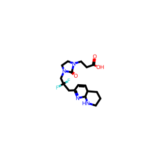 O=C(O)CCN1CCN(CC(F)(F)CC2=NC3NCCCC3C=C2)C1=O